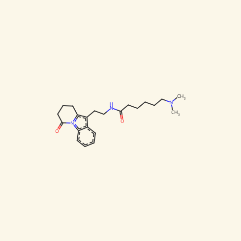 CN(C)CCCCCC(=O)NCCc1c2n(c3ccccc13)C(=O)CCC2